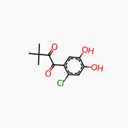 CC(C)(C)C(=O)C(=O)c1cc(O)c(O)cc1Cl